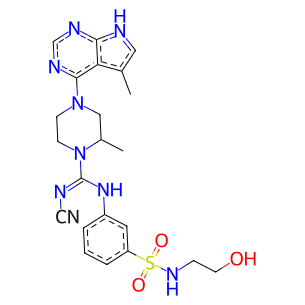 Cc1c[nH]c2ncnc(N3CCN(C(=NC#N)Nc4cccc(S(=O)(=O)NCCO)c4)C(C)C3)c12